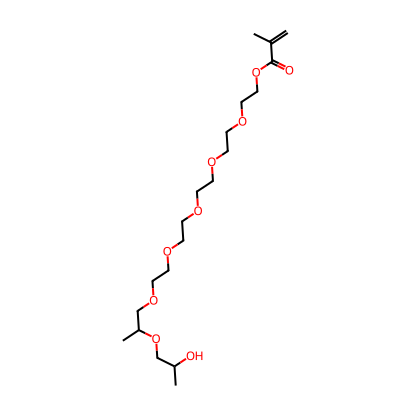 C=C(C)C(=O)OCCOCCOCCOCCOCCOCC(C)OCC(C)O